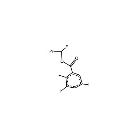 CC(C)C(F)OC(=O)c1cc(I)cc(I)c1I